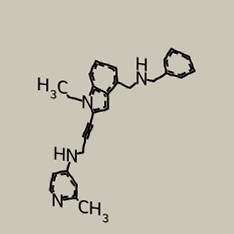 CCn1c(C#CCNc2ccnc(C)c2)cc2c(CNCc3ccccc3)cccc21